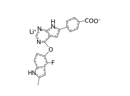 Cc1cc2c(F)c(Oc3ncnc4[nH]c(-c5ccc(C(=O)[O-])cc5)cc34)ccc2[nH]1.[Li+]